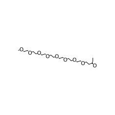 COCCOCCOCCOCCOCCOCCOCCOCCC(=O)I